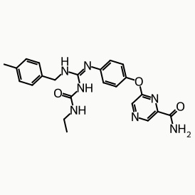 CCNC(=O)N/C(=N\c1ccc(Oc2cncc(C(N)=O)n2)cc1)NCc1ccc(C)cc1